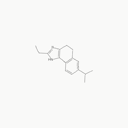 CCc1nc2c([nH]1)-c1ccc(C(C)C)cc1CC2